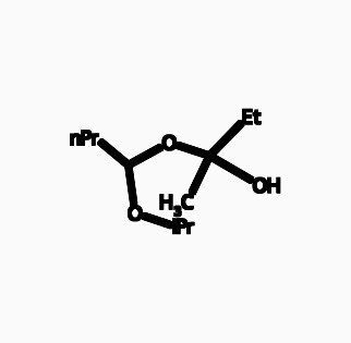 CCCC(OC(C)C)OC(C)(O)CC